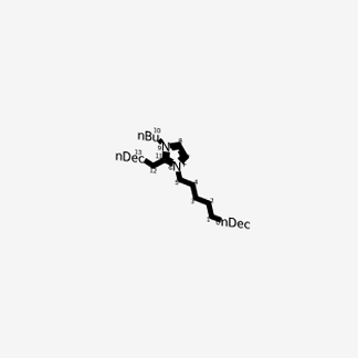 CCCCCCCCCCCCCCC[n+]1ccn(CCCC)c1CCCCCCCCCCC